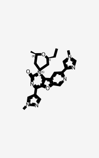 CC[C@H]1C[C@@H](n2c(=O)nc(-c3cnn(C)c3)c3oc4cnc(-c5cn(C)cn5)cc4c32)C[C@@H](C)O1